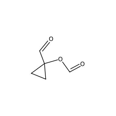 O=COC1(C=O)CC1